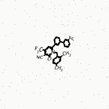 CC(=O)c1cccc(-c2cccc(-c3cc(C(F)(F)F)c(C#N)c(=O)n3Cc3ccc(C)cc3C)c2)c1